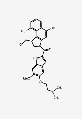 COc1cc2[nH]c(C(=O)N3C[C@@H](CCl)c4c3cc(O)c3cccc(C)c43)cc2cc1OCCN(C)C